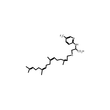 CC(C)=CCCC(C)=CCCC(C)=CCCC(C)=CCSCC(Nc1ccc(C(F)(F)F)cn1)C(=O)O